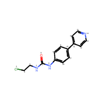 O=C(NCCCl)Nc1ccc(-c2ccncc2)cc1